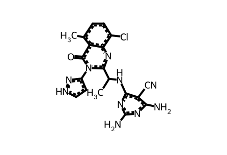 Cc1ccc(Cl)c2nc(C(C)Nc3nc(N)nc(N)c3C#N)n(-c3cc[nH]n3)c(=O)c12